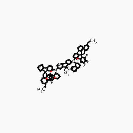 C=Cc1ccc(CC2(c3c(F)c(F)c(F)c(F)c3F)c3ccccc3-c3ccc(N(c4ccc5c(c4)C(C)(C)c4cc(N(c6ccc7c(c6)C(Cc6ccc(C=C)cc6)(c6c(F)c(F)c(F)c(F)c6F)c6ccccc6-7)c6cccc7ccccc67)ccc4-5)c4cccc5ccccc45)cc32)cc1